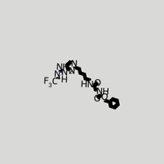 N/C(=N/CC(F)(F)F)Nc1ccnc(CCCCCNC(=O)CNC(=O)OCc2ccccc2)n1